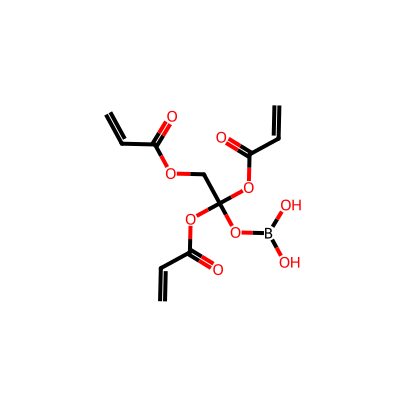 C=CC(=O)OCC(OB(O)O)(OC(=O)C=C)OC(=O)C=C